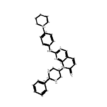 O=c1ccc2cnc(Nc3ccc(N4CCCCC4)cc3)nc2n1C1COC(c2ccccc2)OC1